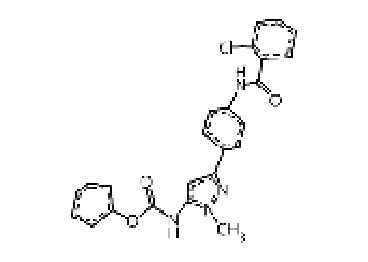 Cn1nc(-c2ccc(NC(=O)c3ccccc3Cl)cc2)cc1NC(=O)Oc1ccccc1